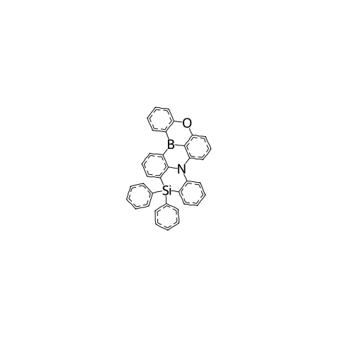 c1ccc([Si]2(c3ccccc3)c3ccccc3N3c4cccc5c4B(c4ccccc4O5)c4cccc2c43)cc1